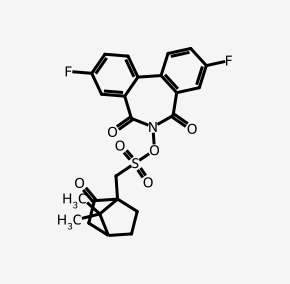 CC1(C)C2CCC1(CS(=O)(=O)On1c(=O)c3cc(F)ccc3c3ccc(F)cc3c1=O)C(=O)C2